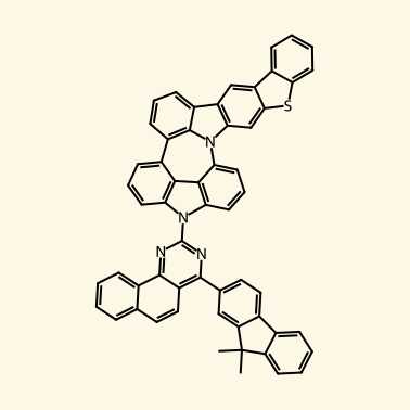 CC1(C)c2ccccc2-c2ccc(-c3nc(-n4c5cccc6c7cccc8c9cc%10c(cc9n(c9cccc4c9c65)c78)sc4ccccc4%10)nc4c3ccc3ccccc34)cc21